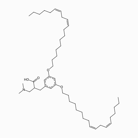 CCCCC/C=C\C/C=C\CCCCCCCCOc1cc(CC(CN(C)C)C(=O)O)cc(OCCCCCCCC/C=C\C/C=C\CCCCC)c1